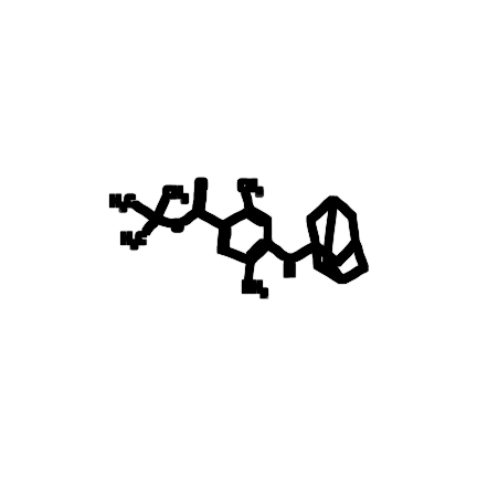 Cc1cc(NC23CC4CC(CC(C4)C2)C3)c(N)cc1C(=O)OC(C)(C)C